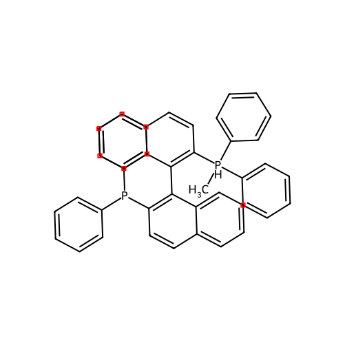 C[PH](c1ccccc1)(c1ccccc1)c1ccc2ccccc2c1-c1c(P(c2ccccc2)c2ccccc2)ccc2ccccc12